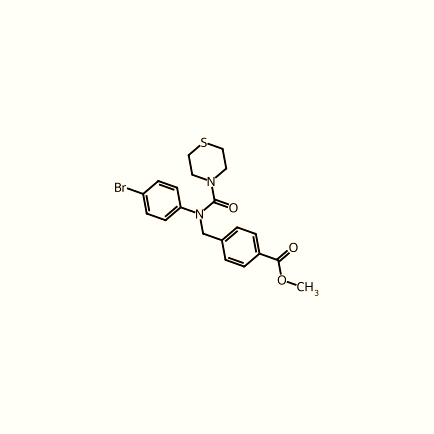 COC(=O)c1ccc(CN(C(=O)N2CCSCC2)c2ccc(Br)cc2)cc1